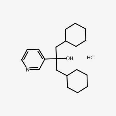 Cl.OC(CC1CCCCC1)(CC1CCCCC1)c1cccnc1